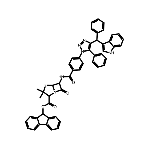 CC1(C)SC2C(NC(=O)c3ccc(-n4nnc(C(c5ccccc5)c5c[nH]c6ccccc56)c4-c4ccccc4)cc3)C(=O)N2C1C(=O)OC1c2ccccc2-c2ccccc21